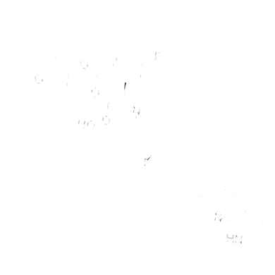 O=C(OO)[C@@H](c1cc(F)ccc1COC1CCOCC1)N1CCC([C@H](I)CCCCc2ccc3c(n2)NCCC3)C1